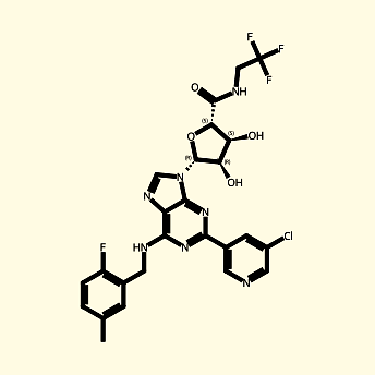 Cc1ccc(F)c(CNc2nc(-c3cncc(Cl)c3)nc3c2ncn3[C@@H]2O[C@H](C(=O)NCC(F)(F)F)[C@@H](O)[C@H]2O)c1